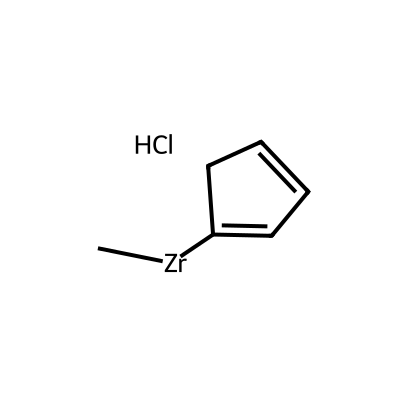 Cl.[CH3][Zr][C]1=CC=CC1